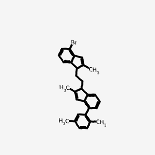 CC1=Cc2c(Br)cccc2C1CCC1C(C)=Cc2c(-c3cc(C)ccc3C)cccc21